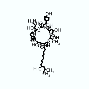 CCC(C)CC(C)CCCCCCCCC(=O)NC1C[C@@H](O)[C@@H](O)NC(=O)[C@@H]2[C@@H](O)CCN2C(=O)C([C@H](O)CCN)NC(=O)[C@H]([C@H](O)[C@@H](O)c2ccc(O)cc2)NC(=O)C2C[C@@H](O)CN2C(=O)C([C@@H](C)O)NC1=O